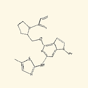 C=CC(=O)N1CCCC1COc1nc(Nc2ncc(C)s2)cc2c1ccn2C(C)C